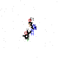 CCOc1csc(-c2cc(NCCc3c(C)oc4c(C)cc(F)cc34)ncn2)c1